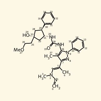 C=NN(C)/C=C(\C)c1nn(-c2ccccc2)c(NC(=O)N[C@@H]2C[C@@](O)(CCOC)C[C@H]2c2ccccc2)c1C